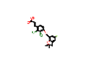 CC1(C)Cc2cc(F)cc(COc3ccc(CCC(=O)O)c(Cl)c3Cl)c2O1